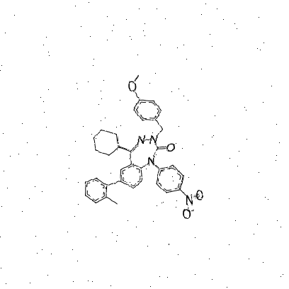 COc1ccc(CN2N=C(C3CCCCC3)c3cc(-c4ccccc4C)ccc3N(c3ccc([N+](=O)[O-])cc3)C2=O)cc1